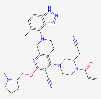 C=CC(=O)N1CCN(c2c(C#N)c(OCC3CCCN3C)nc3c2CCN(c2c(C)ccc4[nH]ncc24)C3)CC1CC#N